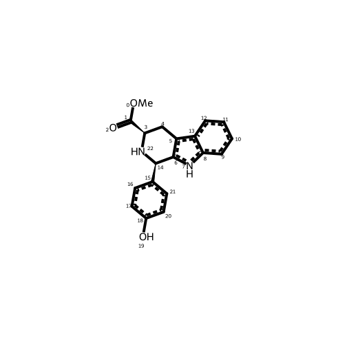 COC(=O)[C@H]1Cc2c([nH]c3ccccc23)[C@@H](c2ccc(O)cc2)N1